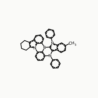 Cc1ccc2c3c(n(-c4ccccc4)c2c1)B1c2c(cccc2-n2c4c(c5cccc1c52)CCCC4)N3c1ccccc1